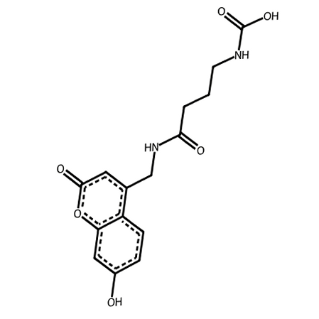 O=C(O)NCCCC(=O)NCc1cc(=O)oc2cc(O)ccc12